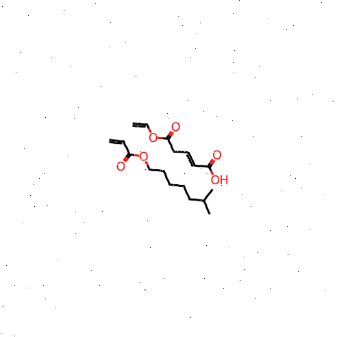 C=CC(=O)OCCCCCC(C)C.C=COC(=O)CC=CC(=O)O